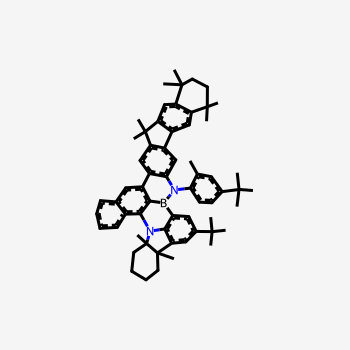 Cc1cc(C(C)(C)C)ccc1N1B2c3cc(C(C)(C)C)cc4c3N(c3c2c(cc2ccccc32)-c2cc3c(cc21)-c1cc2c(cc1C3(C)C)C(C)(C)CCC2(C)C)C1(C)CCCCC41C